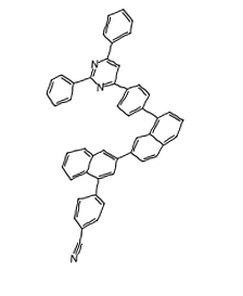 N#Cc1ccc(-c2cc(-c3ccc4cccc(-c5ccc(-c6cc(-c7ccccc7)nc(-c7ccccc7)n6)cc5)c4c3)cc3ccccc23)cc1